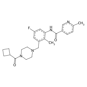 Cc1ccc(C(=O)Nc2cc(F)cc(CN3CCN(C(=O)C4CCC4)CC3)c2C)cn1